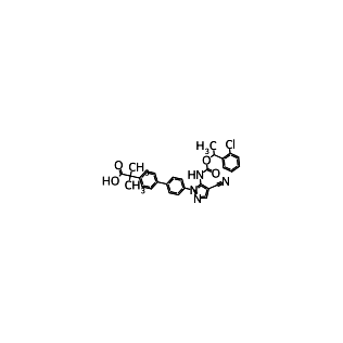 CC(OC(=O)Nc1c(C#N)cnn1-c1ccc(-c2ccc(C(C)(C)C(=O)O)cc2)cc1)c1ccccc1Cl